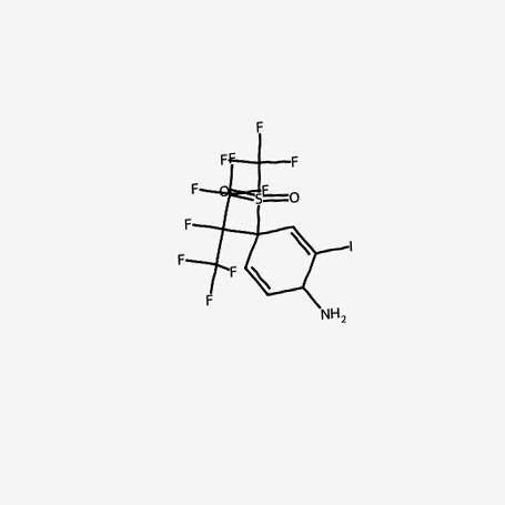 NC1C=CC(C(F)(C(F)(F)F)C(F)(F)F)(S(=O)(=O)C(F)(F)F)C=C1I